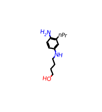 CCCc1cc(NCCCCO)ccc1N